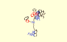 C=N/C(=C\C(=N/C)N[C@@H](CCN(CCCCc1ccc2c(n1)NCCC2)CCOc1ccccc1)C(=O)O)c1ccccc1